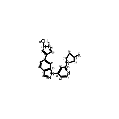 Cn1cc(-c2ccc3cnn(-c4ccnc(N5CCC(F)C5)c4)c3c2)cn1